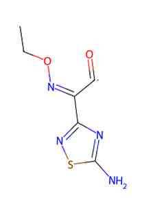 CCON=C([C]=O)c1nsc(N)n1